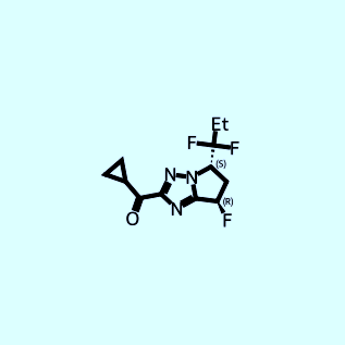 CCC(F)(F)[C@@H]1C[C@@H](F)c2nc(C(=O)C3CC3)nn21